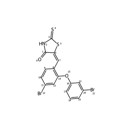 O=C1NC(=S)SC1=Cc1ccc(Br)cc1Oc1cccc(Br)c1